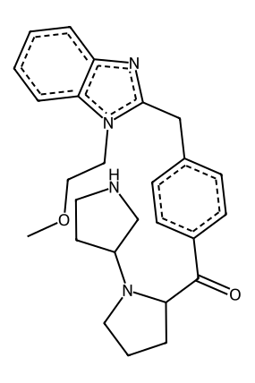 COCCn1c(Cc2ccc(C(=O)C3CCCN3C3CCNC3)cc2)nc2ccccc21